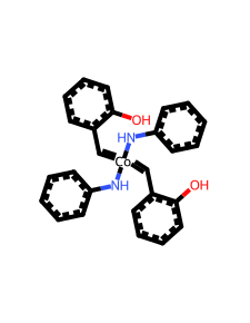 Oc1ccccc1[CH]=[Co](=[CH]c1ccccc1O)([NH]c1ccccc1)[NH]c1ccccc1